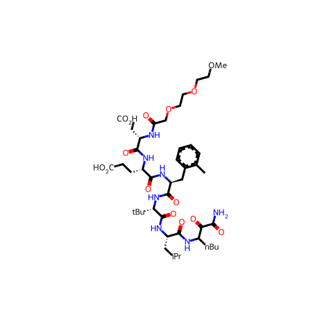 CCCCC(NC(=O)[C@H](CC(C)C)NC(=O)[C@@H](NC(=O)[C@H](Cc1ccccc1C)NC(=O)[C@H](CCC(=O)O)NC(=O)[C@H](CC(=O)O)NC(=O)COCCOCCOC)C(C)(C)C)C(=O)C(N)=O